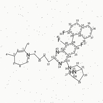 CC1=CC(C)CCCN1CCCCc1nc(N2CC3CCC(C2)N3)c2cc(F)c(-c3c(F)ccc4ccccc34)c(F)c2n1